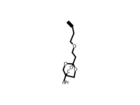 C#CCCOCCC12OCC(CCC)(CO1)CO2